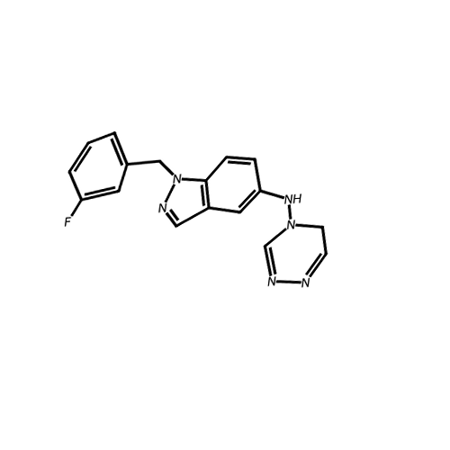 Fc1cccc(Cn2ncc3cc(NN4C=NN=CC4)ccc32)c1